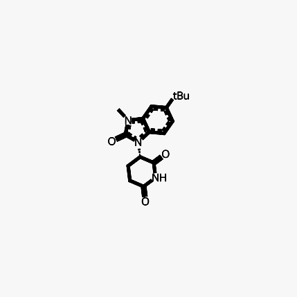 Cn1c(=O)n([C@H]2CCC(=O)NC2=O)c2ccc(C(C)(C)C)cc21